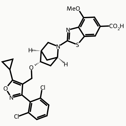 COc1cc(C(=O)O)cc2sc(N3C[C@H]4C[C@@H]3C[C@@H]4OCc3c(-c4c(Cl)cccc4Cl)noc3C3CC3)nc12